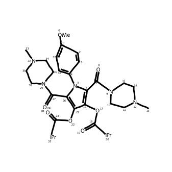 COc1ccc(-n2c(C(=O)N3CCN(C)CC3)c(OC(=O)C(C)C)c(OC(=O)C(C)C)c2C(=O)N2CCN(C)CC2)cc1